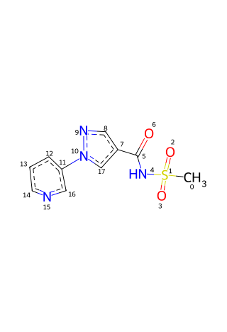 CS(=O)(=O)NC(=O)c1cnn(-c2cccnc2)c1